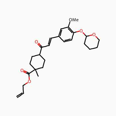 C=CCOC(=O)C1(C)CCC(C(=O)C=Cc2ccc(OC3CCCCO3)c(OC)c2)CC1